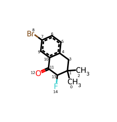 CC1(C)Cc2ccc(Br)cc2C(=O)C1F